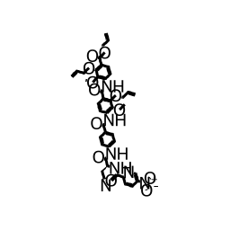 C=CCOC(=O)c1ccc(NC(=O)c2ccc(NC(=O)c3ccc(NC(=O)[C@H](CC#N)NC(=O)c4ccc([N+](=O)[O-])cn4)cc3)c(OC)c2OCC=C)c(OC)c1OCC=C